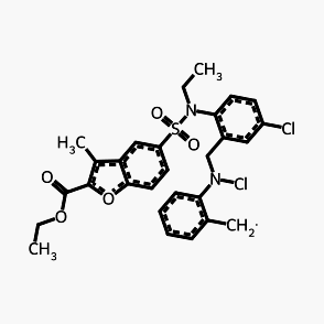 [CH2]c1ccccc1N(Cl)Cc1cc(Cl)ccc1N(CC)S(=O)(=O)c1ccc2oc(C(=O)OCC)c(C)c2c1